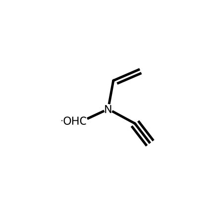 C#CN([C]=O)C=C